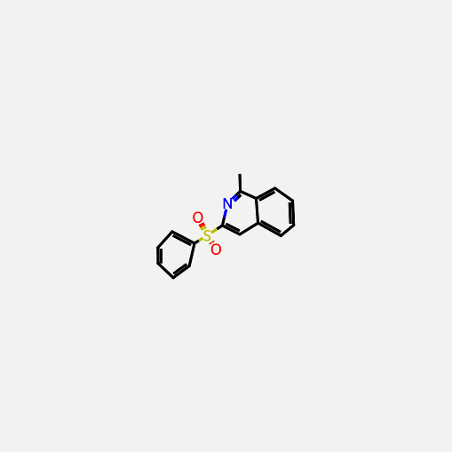 Cc1nc(S(=O)(=O)c2ccccc2)cc2ccccc12